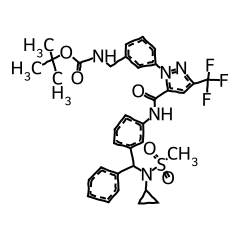 CC(C)(C)OC(=O)NCc1cccc(-n2nc(C(F)(F)F)cc2C(=O)Nc2cccc(C(c3ccccc3)N(C3CC3)S(C)(=O)=O)c2)c1